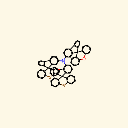 c1ccc2c(c1)Oc1ccccc1C21c2ccccc2-c2ccc(N(c3ccc4c(c3)C3(c5ccccc5Sc5ccccc53)c3ccccc3-4)c3cccc4c3-c3ccccc3C43c4ccccc4Sc4ccccc43)cc21